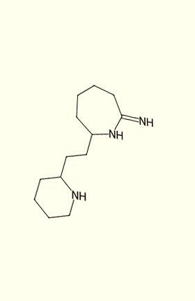 N=C1CCCCC(CCC2CCCCN2)N1